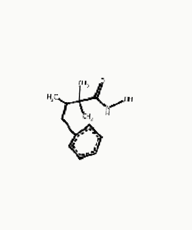 CC(Cc1ccccc1)C(C)(C)C(=O)NO